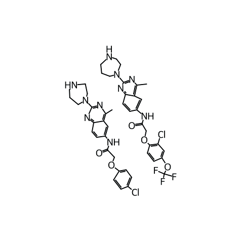 Cc1nc(N2CCCNCC2)nc2ccc(NC(=O)COc3ccc(Cl)cc3)cc12.Cc1nc(N2CCCNCC2)nc2ccc(NC(=O)COc3ccc(OC(F)(F)F)cc3Cl)cc12